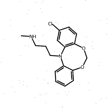 CNCCCN1c2ccccc2OCOc2ccc(Cl)cc21